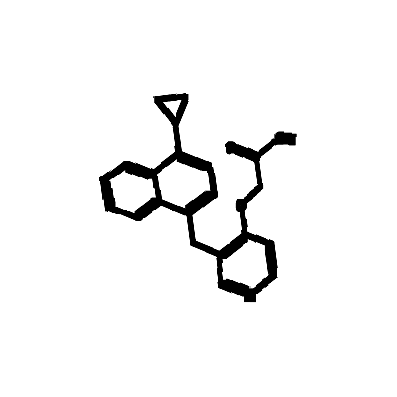 O=C(O)COc1ccncc1Cc1ccc(C2CC2)c2ccccc12